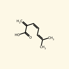 C=C(/C=C\C=C(C)C)C(=O)O